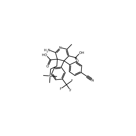 CC1=C(C(=O)O)C(c2ccc(C#N)cc2)(c2cccc(C(F)(F)F)c2)C(CC[Si](C)(C)C)(C(=O)O)C(N)=N1